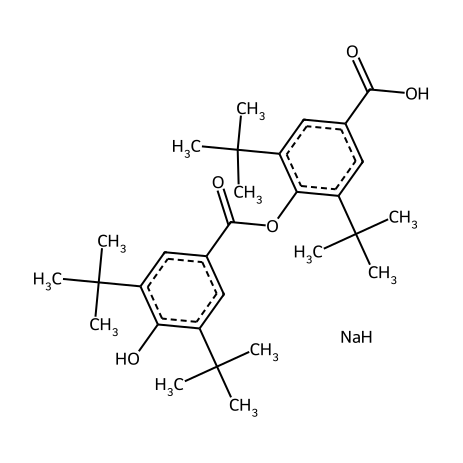 CC(C)(C)c1cc(C(=O)Oc2c(C(C)(C)C)cc(C(=O)O)cc2C(C)(C)C)cc(C(C)(C)C)c1O.[NaH]